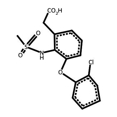 CS(=O)(=O)Nc1c(CC(=O)O)cccc1Oc1ccccc1Cl